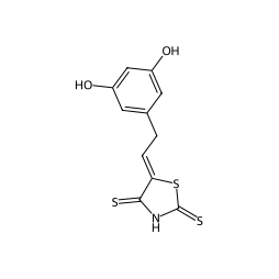 Oc1cc(O)cc(CC=C2SC(=S)NC2=S)c1